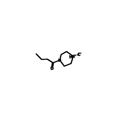 [CH2-][NH+]1CCN(C(=O)CCC)CC1